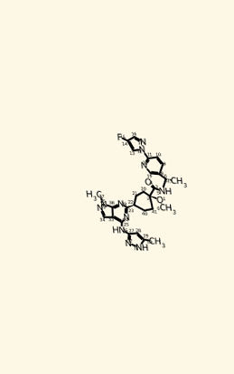 CO[C@]1(C(=O)N[C@@H](C)c2ccc(-n3cc(F)cn3)nc2)CC[C@H](c2nc(Nc3cc(C)[nH]n3)c3cnn(C)c3n2)CC1